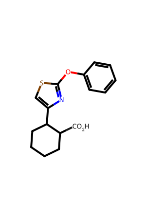 O=C(O)C1CCCCC1c1csc(Oc2ccccc2)n1